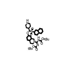 CC(C)(C)OC(=O)N=C(NC(=O)OC(C)(C)C)N1CCc2ccc(OC(C3CCNCC3)S(=O)(=O)c3ccc4ccccc4c3)cc2C1